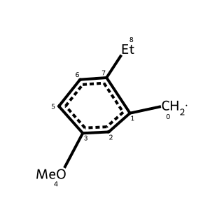 [CH2]c1cc(OC)ccc1CC